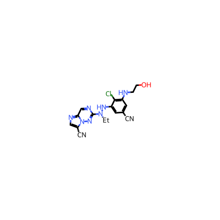 CCN(Nc1cc(C#N)cc(NCCO)c1Cl)c1ncc2ncc(C#N)n2n1